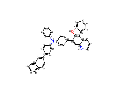 C1=CC(N(c2ccccc2)c2ccc(-c3ccc4ccccc4c3)cc2)CC=C1c1cc2ncccc2c2c1oc1ccccc12